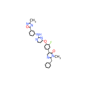 Cc1noc(-c2cccc(Nc3nccc(Oc4ccc(-c5cnc(Cc6ccccc6)n(C)c5=O)cc4F)n3)c2)n1